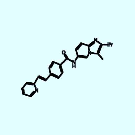 Cc1c(C(C)C)nc2ccc(NC(=O)c3ccc(/C=C/c4ccccn4)cc3)cn12